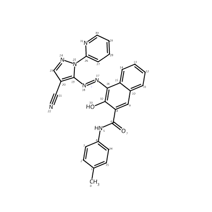 Cc1ccc(NC(=O)c2cc3ccccc3c(/N=N/c3c(C#N)cnn3-c3ccccn3)c2O)cc1